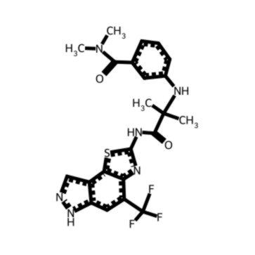 CN(C)C(=O)c1cccc(NC(C)(C)C(=O)Nc2nc3c(C(F)(F)F)cc4[nH]ncc4c3s2)c1